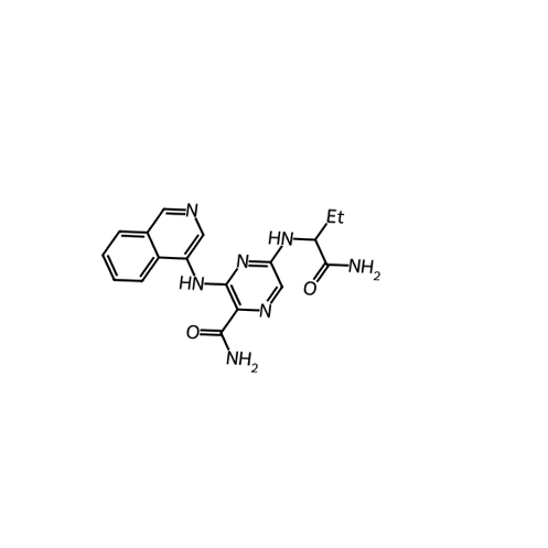 CCC(Nc1cnc(C(N)=O)c(Nc2cncc3ccccc23)n1)C(N)=O